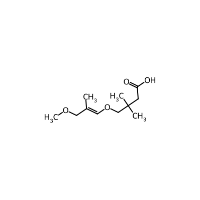 COC/C(C)=C/OCC(C)(C)CC(=O)O